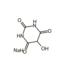 O=C1NC(=O)C(O)C(=O)N1.[NaH]